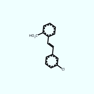 O=C(O)c1ccccc1C=Cc1cccc(Cl)c1